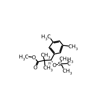 COC(=O)C(C)(C)[C@@H](O[Si](C)(C)C)c1cc(C)cc(C)c1